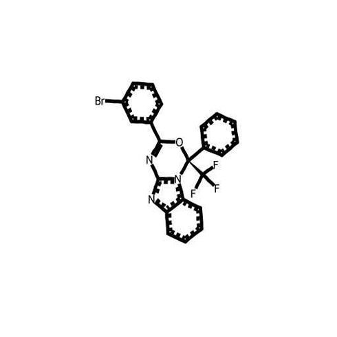 FC(F)(F)[C@]1(c2ccccc2)OC(c2cccc(Br)c2)=Nc2nc3ccccc3n21